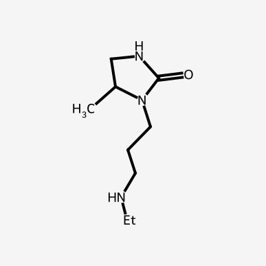 CCNCCCN1C(=O)NCC1C